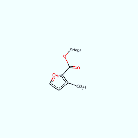 CCCCCCCOC(=O)c1occc1C(=O)O